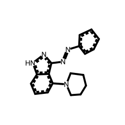 c1ccc(N=Nc2n[nH]c3cccc(N4CCCCC4)c23)cc1